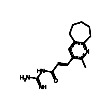 Cc1nc2c(cc1C=CC(=O)NC(=N)N)CCCCC2